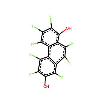 Oc1c(F)c(F)c2c(c1F)c(F)c(F)c1c(O)c(F)c(F)c(F)c12